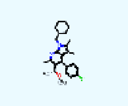 CC(=O)[C@@H](OC(C)(C)C)c1c(C)nc2c(c(C)c(C)n2CC2CCCCC2)c1-c1ccc(Cl)cc1